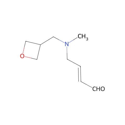 CN(CC=CC=O)CC1COC1